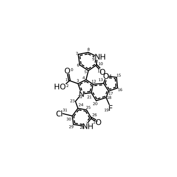 O=C(O)c1c(-c2ccc[nH]c2=O)c2c3occc3c(F)cc2n1Cc1cc(=O)[nH]cc1Cl